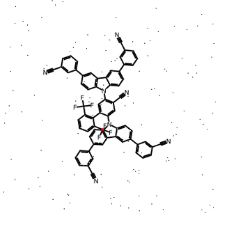 N#Cc1cccc(-c2ccc3c(c2)c2cc(-c4cccc(C#N)c4)ccc2n3-c2cc(-c3c(C(F)(F)F)cccc3C(F)(F)F)c(-n3c4ccc(-c5cccc(C#N)c5)cc4c4cc(-c5cccc(C#N)c5)ccc43)cc2C#N)c1